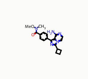 CON(C)C(=O)c1ccc(-c2nc(C3CCC3)n3ccnc(N)c23)cc1